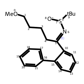 COCCCC/C(=N\[S+]([O-])C(C)(C)C)c1ccccc1-c1ccccc1